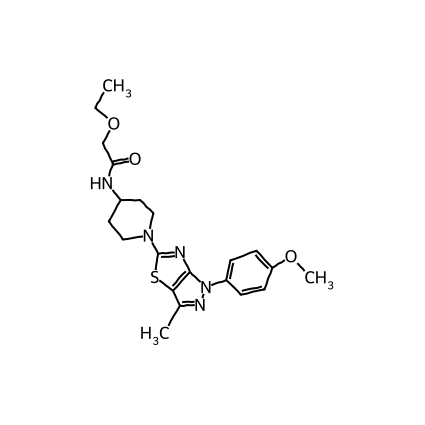 CCOCC(=O)NC1CCN(c2nc3c(s2)c(C)nn3-c2ccc(OC)cc2)CC1